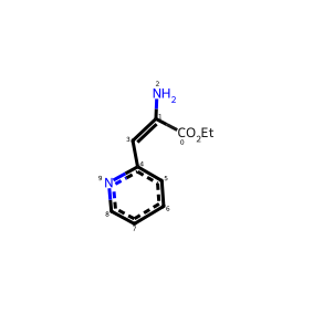 CCOC(=O)/C(N)=C\c1ccccn1